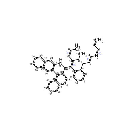 C=C/C=N\C=C\Cc1ccccc1/C(=C(/C=C\C)CC)C1Nc2cc3ccccc3cc2-c2c1ccc1ccccc21